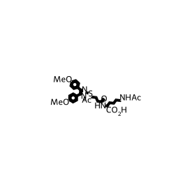 COc1ccc(-c2nc(SCCCC(=O)N[C@@H](CCCCNC(C)=O)C(=O)O)n(C(C)=O)c2-c2ccc(OC)cc2)cc1